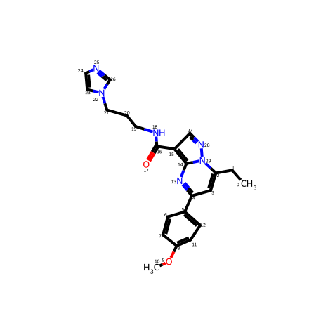 CCc1cc(-c2ccc(OC)cc2)nc2c(C(=O)NCCCn3ccnc3)cnn12